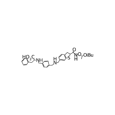 CC(C)COC(C)ONC(=O)C1Cc2ccc(CNCc3ccc(CN[C@@H](Cc4ccccc4)C(=O)O)cc3)cc2S1